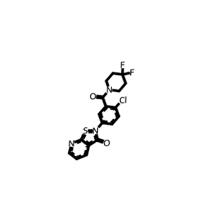 O=C(c1cc(-n2sc3ncccc3c2=O)ccc1Cl)N1CCC(F)(F)CC1